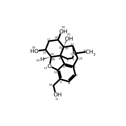 CN1CCC23c4c5ccc(CO)c4O[C@H]2C(O)CC(O)[C@@]3(O)C1C5